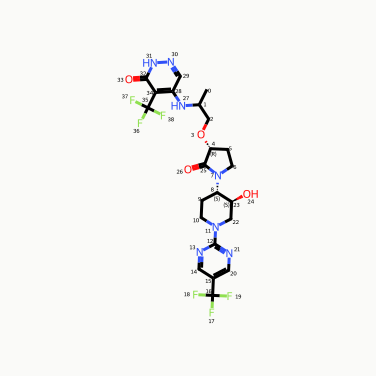 CC(CO[C@@H]1CCN([C@H]2CCN(c3ncc(C(F)(F)F)cn3)C[C@@H]2O)C1=O)Nc1cn[nH]c(=O)c1C(F)(F)F